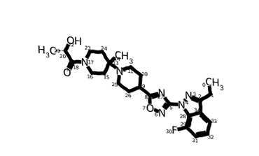 CCc1nn(-c2noc(C3CCN(C4(C)CCN(C(=O)[C@H](C)O)CC4)CC3)n2)c2c(F)cccc12